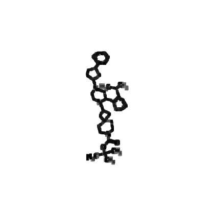 CC(C)c1ccccc1C1CN(C2CCC(c3ccccc3)C2)CCN1C1CC2(CCN(C(=O)OC(C)(C)C)CC2)C1